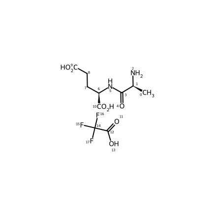 C[C@H](N)C(=O)N[C@H](CCC(=O)O)C(=O)O.O=C(O)C(F)(F)F